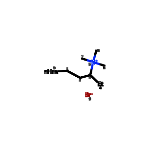 CCCCCCCCC(CC)[N+](C)(C)C.[Br-]